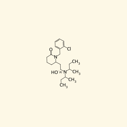 CCC(C)N(C(C)CC)[C@H](O)CC1CCCC(=O)N1Cc1ccccc1Cl